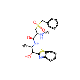 CCCC(NC(=O)C(CS(=O)(=O)Cc1ccccc1)NC(C)C)C(O)c1nc2ccccc2s1